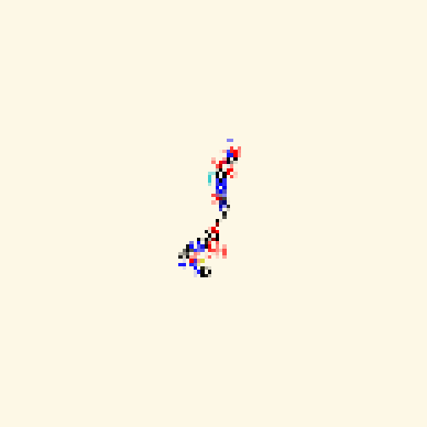 Cc1c(OCCCC2CCN([C@@H](C)C(=O)N3CCN(c4cc5c(cc4F)C(=O)N(C4CCC(=O)NC4=O)C5=O)CC3)CC2)cccc1-c1ccc(N2CCc3cccc(C(=O)Nc4nc5ccccc5s4)c3C2)nc1C(=O)O